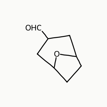 O=CC1CC2CCC(C1)O2